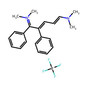 CN(C)C=CC=C(C(c1ccccc1)=[N+](C)C)c1ccccc1.F[B-](F)(F)F